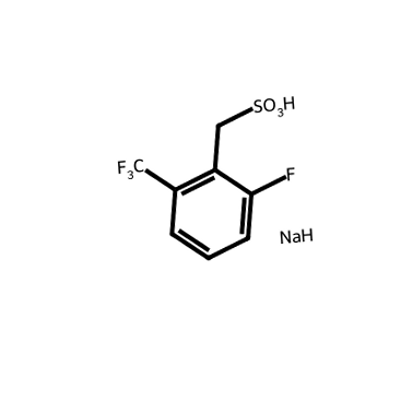 O=S(=O)(O)Cc1c(F)cccc1C(F)(F)F.[NaH]